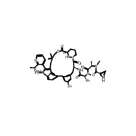 CCn1c(-c2cccnc2[C@H](C)OC)c2c3cc(ccc31)-c1cc(O)cc(c1)C[C@H](NC(=O)[C@H](C(C)C)N(C)C(=O)[C@@H](C)N(C)C(=O)[C@H]1CN1)C(=O)N1CCC[C@H](N1)C(=O)OCC(C)(C)C2